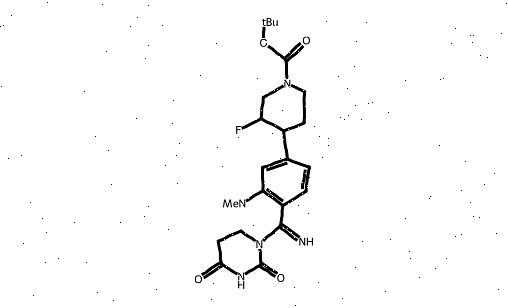 CNc1cc(C2CCN(C(=O)OC(C)(C)C)CC2F)ccc1C(=N)N1CCC(=O)NC1=O